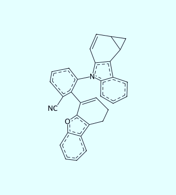 N#Cc1cccc(-n2c3c(c4ccccc42)C2CC2C=C3)c1C1=CCCc2c1oc1ccccc21